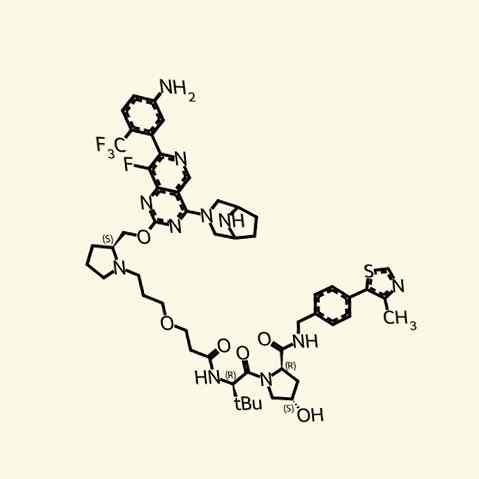 Cc1ncsc1-c1ccc(CNC(=O)[C@H]2C[C@H](O)CN2C(=O)[C@H](NC(=O)CCOCCCN2CCC[C@H]2COc2nc(N3CC4CCC(C3)N4)c3cnc(-c4cc(N)ccc4C(F)(F)F)c(F)c3n2)C(C)(C)C)cc1